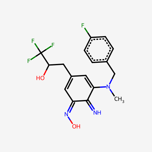 CN(Cc1ccc(F)cc1)C1=CC(CC(O)C(F)(F)F)=C/C(=N/O)C1=N